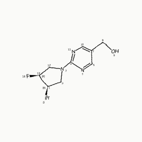 CC(C)[C@@H]1CN(c2ncc(CO)cn2)C[C@@H]1F